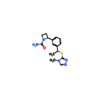 CC(Sc1nncn1C)c1cccc(C2CCN2C(N)=O)c1